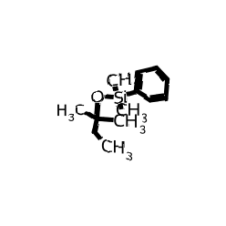 CCC(C)(C)O[Si](C)(C)c1ccccc1